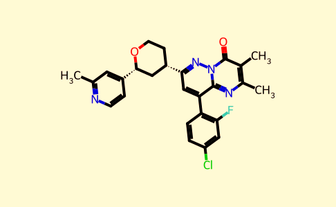 Cc1cc([C@H]2C[C@@H](c3cc(-c4ccc(Cl)cc4F)c4nc(C)c(C)c(=O)n4n3)CCO2)ccn1